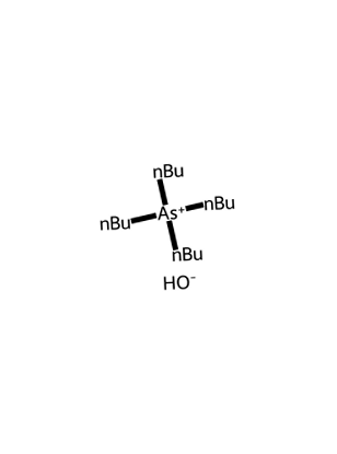 CCCC[As+](CCCC)(CCCC)CCCC.[OH-]